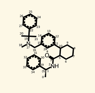 C[C@H](NC(=O)C1CCCCC1c1cccc(CN(C)C(C)(C)c2ccccc2)c1)c1ccccc1